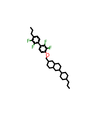 CCCc1ccc(-c2ccc(OCC3CCC4CC(C5CCC(CCC)CC5)CCC4C3)c(F)c2F)c(F)c1F